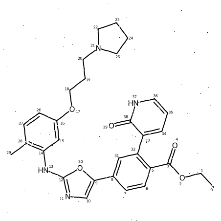 CCOC(=O)c1ccc(-c2cnc(Nc3cc(OCCCN4CCCC4)ccc3C)o2)cc1-c1ccc[nH]c1=O